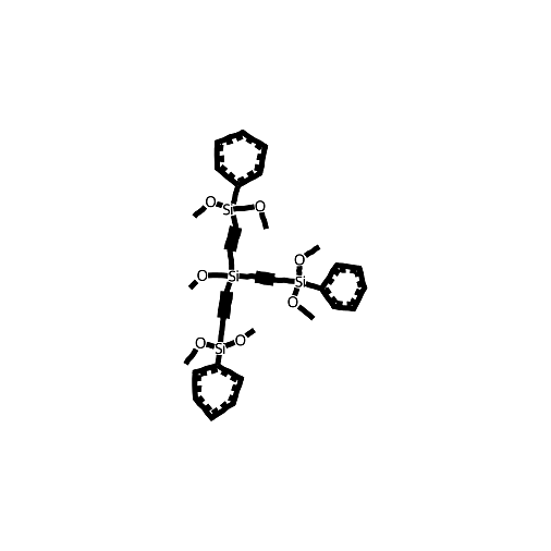 CO[Si](C#C[Si](OC)(OC)c1ccccc1)(C#C[Si](OC)(OC)c1ccccc1)C#C[Si](OC)(OC)c1ccccc1